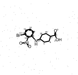 O=C(O)C1CCC(Nc2cccc(Br)c2[N+](=O)[O-])CC1